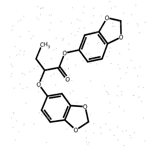 CCC(Oc1ccc2c(c1)OCO2)C(=O)Oc1ccc2c(c1)OCO2